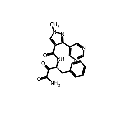 Cn1cc(C(=O)N[C@@H](Cc2ccccc2)C(=O)C(N)=O)c(-c2cncnc2)n1